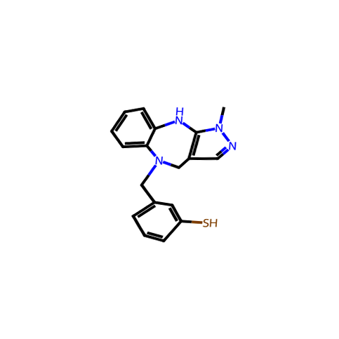 Cn1ncc2c1Nc1ccccc1N(Cc1cccc(S)c1)C2